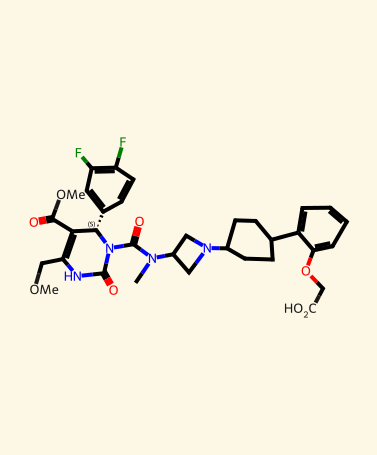 COCC1=C(C(=O)OC)[C@H](c2ccc(F)c(F)c2)N(C(=O)N(C)C2CN(C3CCC(c4ccccc4OCC(=O)O)CC3)C2)C(=O)N1